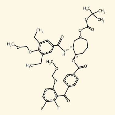 CCc1cc(C(=O)N[C@@H]2CN(OC(=O)OC(C)(C)C)CCC[C@H]2OC(=O)c2ccc(C(=O)c3c(OCOC)ccc(F)c3F)cc2)cc(CC)c1OCOC